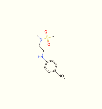 CN(CCNc1ccc([N+](=O)[O-])cc1)S(C)(=O)=O